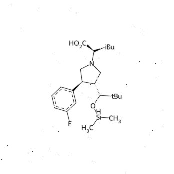 CC[C@H](C)[C@H](C(=O)O)N1C[C@H](c2cccc(F)c2)[C@@H](C(O[SiH](C)C)C(C)(C)C)C1